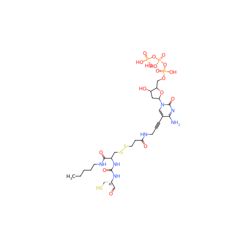 CCCCCNC(=O)C(CSSCCC(=O)NCC#Cc1cn(C2CC(O)C(COP(=O)(O)OP(=O)(O)OP(=O)(O)O)O2)c(=O)nc1N)NC(=O)N[C@H](C=O)CS